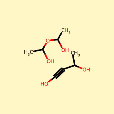 CC(O)C#CO.CC(O)OC(C)O